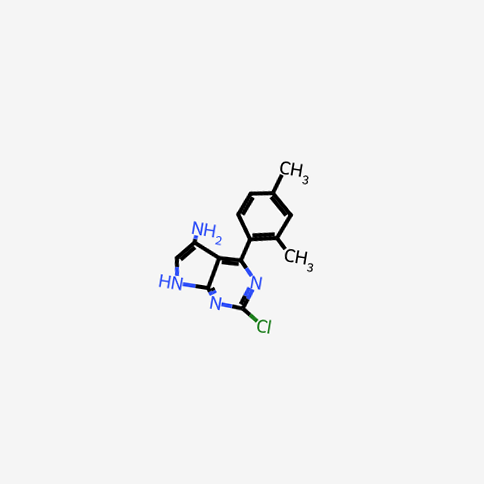 Cc1ccc(-c2nc(Cl)nc3[nH]cc(N)c23)c(C)c1